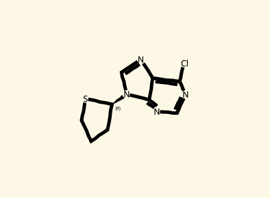 Clc1ncnc2c1ncn2[C@H]1CCCS1